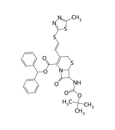 Cc1nnc(SC=CC2=C(C(=O)OC(c3ccccc3)c3ccccc3)N3C(=O)C(NC(=O)OC(C)(C)C)C3SC2)s1